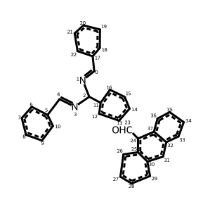 C(=NC(N=Cc1ccccc1)c1ccccc1)c1ccccc1.O=Cc1c2ccccc2cc2ccccc12